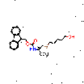 O=C(N[C@@H](CSCCCCCO)C(=O)O)OCC1c2ccccc2-c2ccccc21